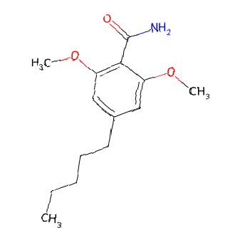 CCCCCc1cc(OC)c(C(N)=O)c(OC)c1